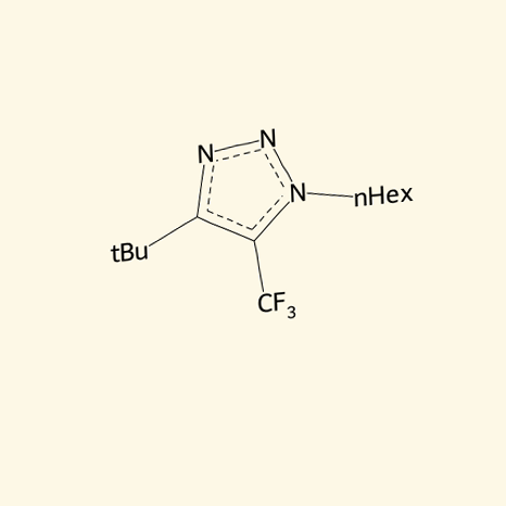 CCCCCCn1nnc(C(C)(C)C)c1C(F)(F)F